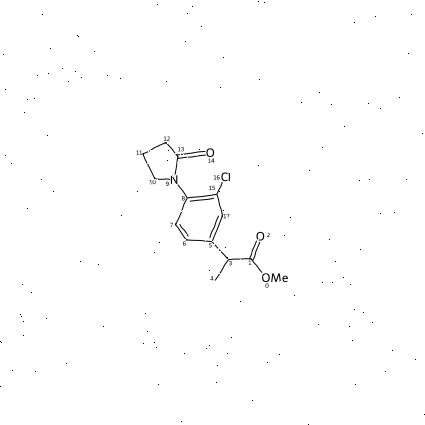 COC(=O)C(C)c1ccc(N2CCCC2=O)c(Cl)c1